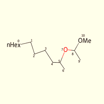 CCCCCCCCCCC(C)OC(C)OC